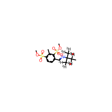 [2H]C([2H])([2H])C(/[N+]([O-])=C/c1ccc(S(=O)(=O)OC)c(C)c1S(=O)(=O)OC)(C([2H])([2H])[2H])C([2H])([2H])C